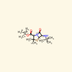 CC1(C)SC2C(N[Si](C)(C)C)C(=O)N2C1C(=O)O[Si](C)(C)C